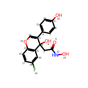 O=C(CC1(O)C(c2ccc(O)cc2)=COc2ccc(F)cc21)NO